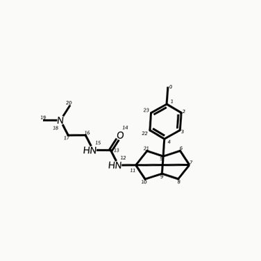 Cc1ccc(C23CC4CC2CC4(NC(=O)NCCN(C)C)C3)cc1